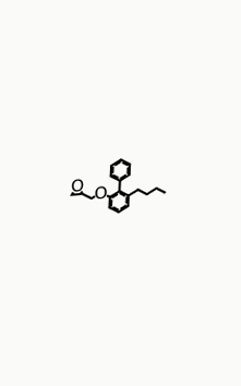 CCCCc1cccc(OCC2CO2)c1-c1ccccc1